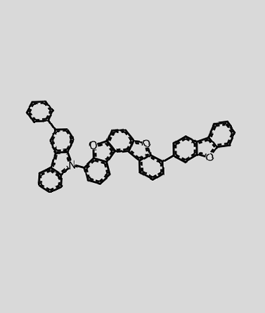 c1ccc(-c2ccc3c(c2)c2ccccc2n3-c2cccc3c2oc2ccc4oc5c(-c6ccc7c(c6)oc6ccccc67)cccc5c4c23)cc1